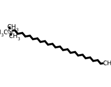 CCCCCCCCCCCCCCCCCCCCCCCC[CH][Si](C)(C)C